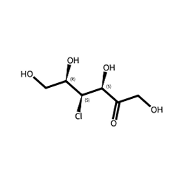 O=C(CO)[C@H](O)[C@@H](Cl)[C@H](O)CO